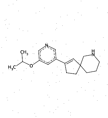 CC(C)Oc1cncc(C2=CC3(CCCNC3)CC2)c1